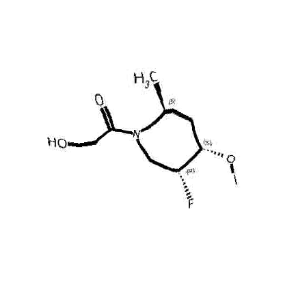 C[C@H]1C[C@H](OI)[C@H](F)CN1C(=O)CO